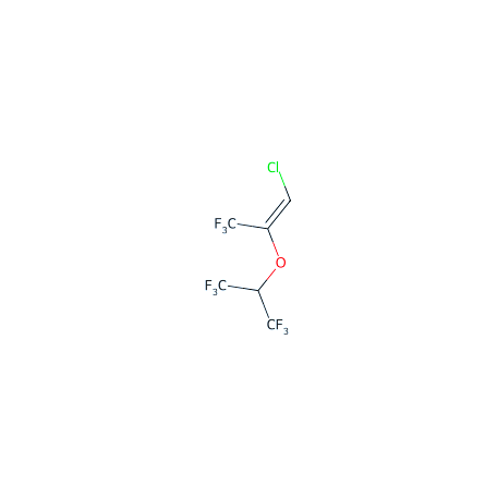 FC(F)(F)/C(=C\Cl)OC(C(F)(F)F)C(F)(F)F